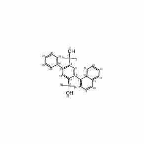 CC(C)(O)c1cc(-c2cccc3ccccc23)c(C(C)(C)O)cc1-c1ccccc1